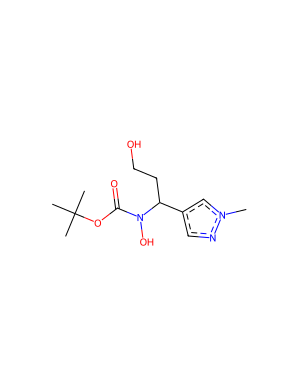 Cn1cc(C(CCO)N(O)C(=O)OC(C)(C)C)cn1